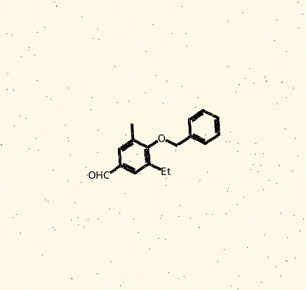 CCc1cc([C]=O)cc(C)c1OCc1ccccc1